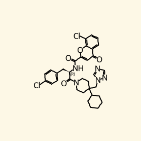 O=C(N[C@H](Cc1ccc(Cl)cc1)C(=O)N1CCC(Cn2cncn2)(C2CCCCC2)CC1)c1cc(=O)c2cccc(Cl)c2o1